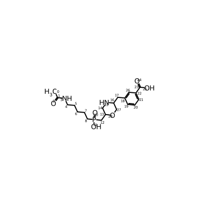 CC(=O)NCCCCCP(=O)(O)CC1CNC(Cc2cccc(C(=O)O)c2)CO1